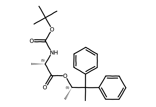 C[C@H](NC(=O)OC(C)(C)C)C(=O)O[C@@H](C)C(C)(c1ccccc1)c1ccccc1